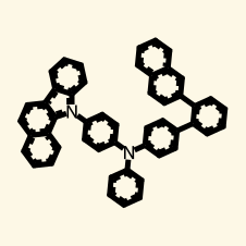 c1ccc(N(c2ccc(-c3ccccc3-c3ccc4ccccc4c3)cc2)c2ccc(-n3c4ccccc4c4ccc5ccccc5c43)cc2)cc1